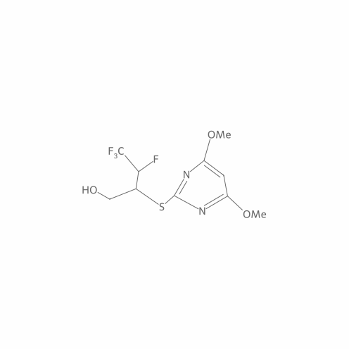 COc1cc(OC)nc(SC(CO)C(F)C(F)(F)F)n1